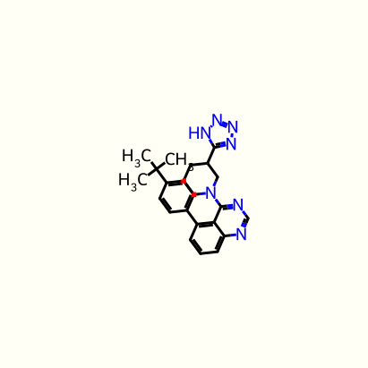 CC(C)(C)c1ccc(-c2cccc3ncnc(N4CCCC(c5nnn[nH]5)C4)c23)cc1